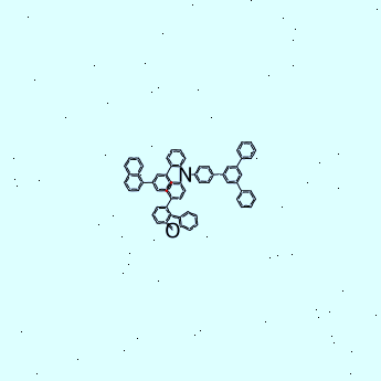 c1ccc(-c2cc(-c3ccccc3)cc(-c3ccc(N(c4ccc(-c5cccc6oc7ccccc7c56)cc4)c4ccccc4-c4cccc(-c5cccc6ccccc56)c4)cc3)c2)cc1